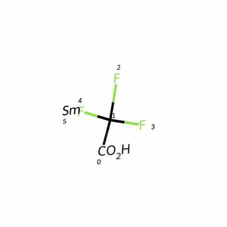 O=C(O)C(F)(F)F.[Sm]